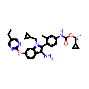 CCc1cnc(Oc2ccc3c(N)c(-c4ccc(NC(=O)O[C@H](C)C5CC5)cc4C)n(CC4CC4)c3c2)nc1